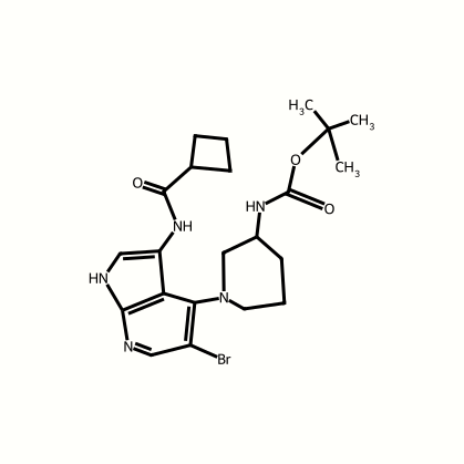 CC(C)(C)OC(=O)NC1CCCN(c2c(Br)cnc3[nH]cc(NC(=O)C4CCC4)c23)C1